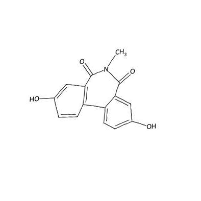 Cn1c(=O)c2cc(O)ccc2c2ccc(O)cc2c1=O